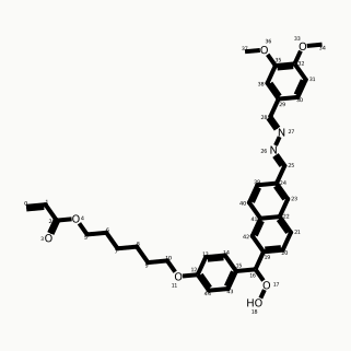 C=CC(=O)OCCCCCCOc1ccc(C(OO)c2ccc3cc(/C=N/N=C/c4ccc(OC)c(OC)c4)ccc3c2)cc1